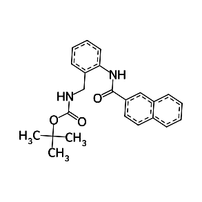 CC(C)(C)OC(=O)NCc1ccccc1NC(=O)c1ccc2ccccc2c1